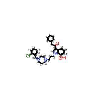 O=C(Cc1ccccc1)c1cn(CCCN2CCCN(Cc3ccccc3Cl)CC2)c2c(O)cccc12